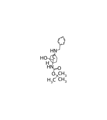 CC(C)(C)OC(=O)NC12CCC(NCc3ccccc3)(CC1)C[C@@H]2O